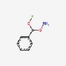 NOB(OF)c1ccccc1